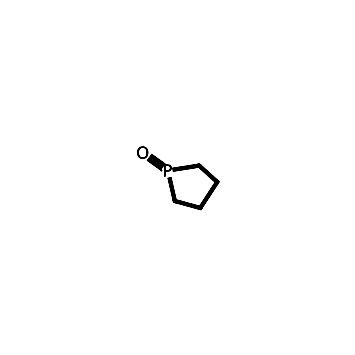 O=[P]1CCCC1